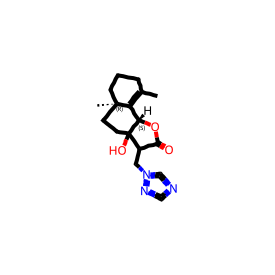 CC1=C2[C@@H]3OC(=O)C(Cn4cncn4)C3(O)CC[C@@]2(C)CCC1